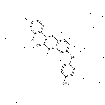 COc1ccc(Nc2ncc3nc(-c4ccccc4Cl)c(=O)n(C)c3n2)cc1